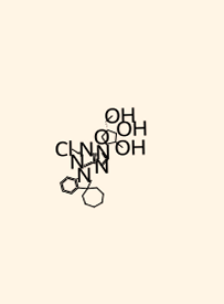 OC[C@H]1O[C@@H](n2cnc3c(N4CC5(CCCCCC5)c5ccccc54)nc(Cl)nc32)C(O)[C@H]1O